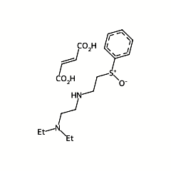 CCN(CC)CCNCC[S+]([O-])c1ccccc1.O=C(O)C=CC(=O)O